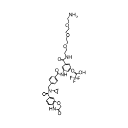 NCCOCCOCCOCCNC(=O)c1cccc(NC(=O)c2ccc(CN(C(=O)c3ccc4c(c3)OCC(=O)N4)C3CC3)cc2)c1.O=C(O)C(F)(F)F